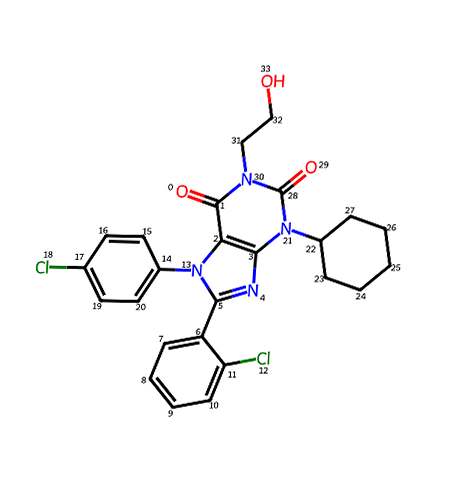 O=c1c2c(nc(-c3ccccc3Cl)n2-c2ccc(Cl)cc2)n(C2CCCCC2)c(=O)n1CCO